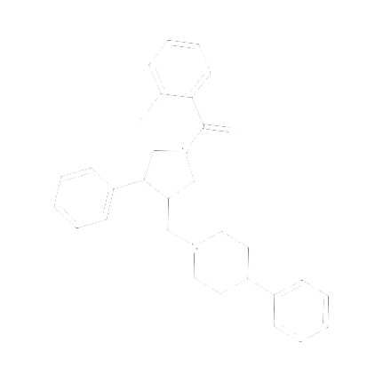 O=C(c1ccccc1F)N1CC(CN2CCC(c3ccccc3)CC2)C(c2ccccc2)C1